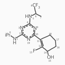 CC(C)Nc1nc(NC(C)C(F)(F)F)nc(C2=C(F)C(O)CCC2)n1